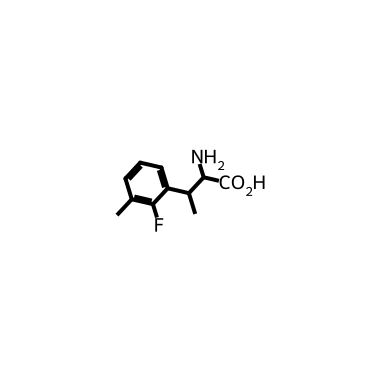 Cc1cccc(C(C)C(N)C(=O)O)c1F